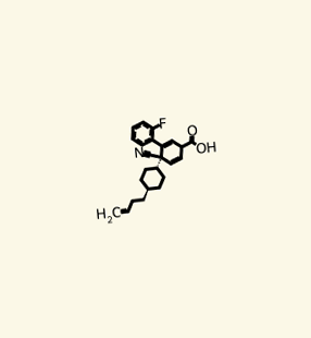 C=CCC[C@H]1CC[C@H](C2(C#N)C=CC(C(=O)O)C=C2c2ccccc2F)CC1